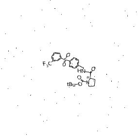 CC(C)(C)OC(=O)N1CCC[C@@H]1C(=O)NCc1ccc(S(=O)(=O)c2cccc(C(F)(F)F)c2)cc1